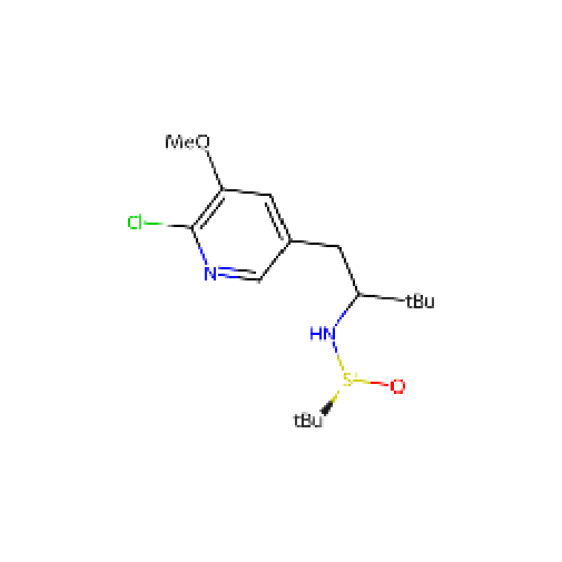 COc1cc(CC(N[S@@+]([O-])C(C)(C)C)C(C)(C)C)cnc1Cl